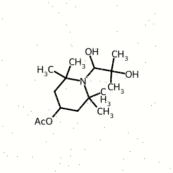 CC(=O)OC1CC(C)(C)N(C(O)C(C)(C)O)C(C)(C)C1